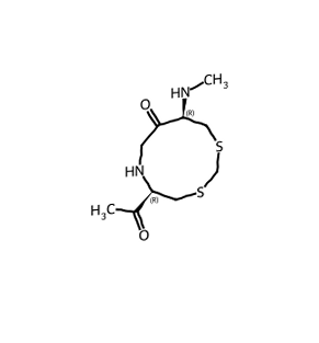 CN[C@H]1CSCSC[C@@H](C(C)=O)NCC1=O